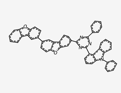 c1ccc(-c2nc(-c3ccc4c(c3)oc3ccc(-c5ccc6oc7ccccc7c6c5)cc34)nc(-c3cccc4c3c3ccccc3n4-c3ccccc3)n2)cc1